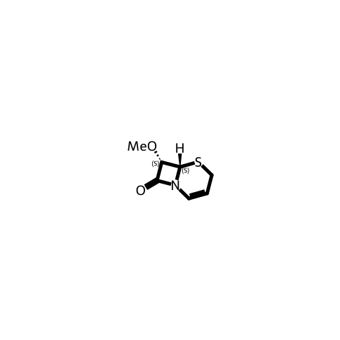 CO[C@H]1C(=O)N2C=CCS[C@@H]12